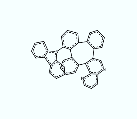 c1ccc2c(c1)-c1cccc(-n3c4ccccc4c4ccccc43)c1-c1ccccc1-c1c-2cnc2cccnc12